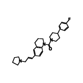 O=C(N1CCC(c2ccc(F)cc2)CC1)N1CCCc2cc(C=CCN3CCCC3)ccc21